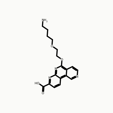 NCCCCOCCOc1nc2nc(C(=O)O)ccc2c2cnccc12